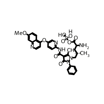 COc1ccc2c(Oc3ccc(NC(=O)c4c(C)n(C[C@@H](C)CC(N)C(=O)OP(=O)(O)O)n(-c5ccccc5)c4=O)nc3)ccnc2c1